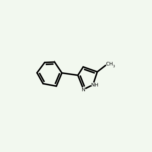 Cc1cc(-c2[c]cccc2)n[nH]1